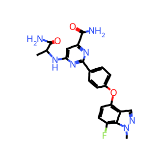 CC(Nc1cc(C(N)=O)nc(-c2ccc(Oc3ccc(F)c4c3cnn4C)cc2)n1)C(N)=O